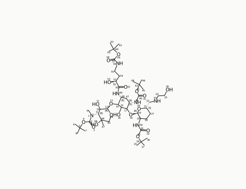 CN(C(=O)OC(C)(C)C)[C@@H]1C(O)[C@@H](OC2C(O)C(O[C@H]3O[C@H](CNCCO)CCC3NC(=O)OC(C)(C)C)[C@@H](NC(=O)OC(C)(C)C)C[C@H]2NC(=O)[C@@H](O)CCNC(=O)OC(C)(C)C)OCC1(C)O